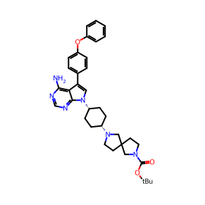 CC(C)(C)OC(=O)N1CCC2(CCN([C@H]3CC[C@@H](n4cc(-c5ccc(Oc6ccccc6)cc5)c5c(N)ncnc54)CC3)C2)C1